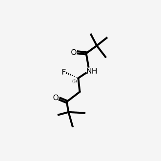 CC(C)(C)C(=O)C[C@H](F)NC(=O)C(C)(C)C